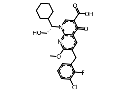 COc1nc2c(cc1Cc1cccc(Cl)c1F)c(=O)c(C(=O)O)cn2[C@H](CO)C1CCCCC1